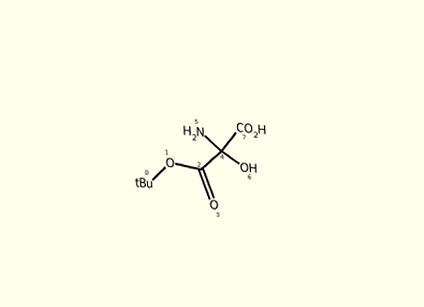 CC(C)(C)OC(=O)C(N)(O)C(=O)O